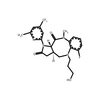 Cc1cc(C(F)(F)F)cc(N2C(=O)C[C@@H]3CN(CCCO)c4c(F)cccc4N(C)C(=O)[C@H]32)n1